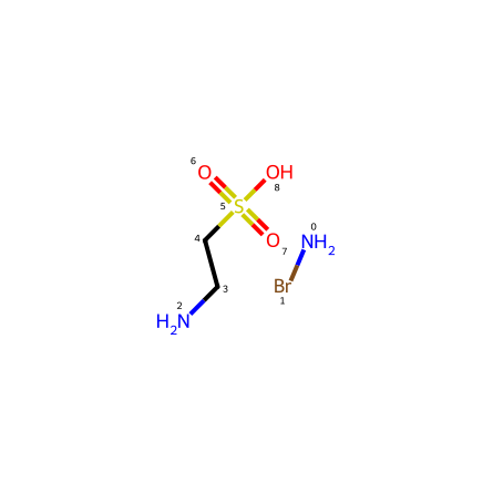 NBr.NCCS(=O)(=O)O